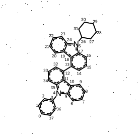 c1ccc(-n2c3ccccc3c3c(-c4cccc5c4c4ccccc4n5C4CCCCC4)cccc32)cc1